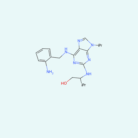 CC(C)C(CO)Nc1nc(NCc2ccccc2N)c2ncn(C(C)C)c2n1